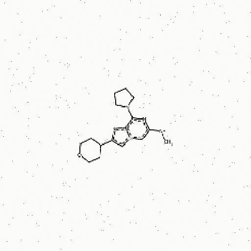 CNc1cn2cc(C3CCOCC3)nc2c(N2CCCC2)n1